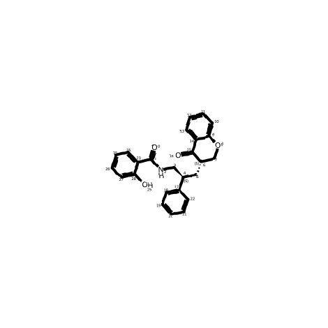 O=C(NC[C@@H](C[C@H]1COc2ccccc2C1=O)c1ccccc1)c1ccccc1O